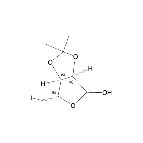 CC1(C)O[C@@H]2[C@@H](CI)OC(O)[C@@H]2O1